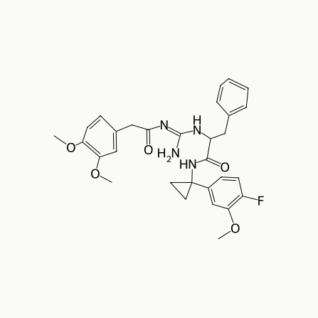 COc1cc(C2(NC(=O)C(Cc3ccccc3)NC(N)=NC(=O)Cc3ccc(OC)c(OC)c3)CC2)ccc1F